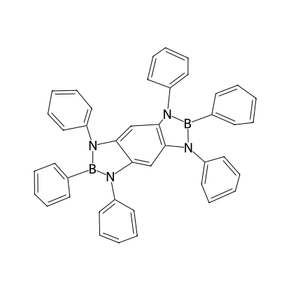 c1ccc(B2N(c3ccccc3)c3cc4c(cc3N2c2ccccc2)N(c2ccccc2)B(c2ccccc2)N4c2ccccc2)cc1